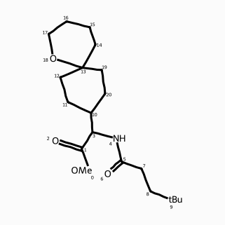 COC(=O)C(NC(=O)CCC(C)(C)C)C1CCC2(CCCCO2)CC1